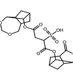 O=C(CC(C(=O)OC1C2CC3C(=O)OC1C3C2)S(=O)(=O)O)OC1C2CC3COCOC1C3C2